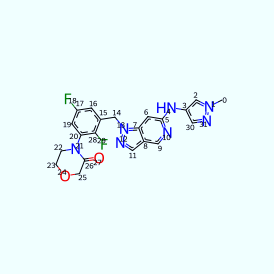 Cn1cc(Nc2cc3c(cn2)cnn3Cc2cc(F)cc(N3CCOCC3=O)c2F)cn1